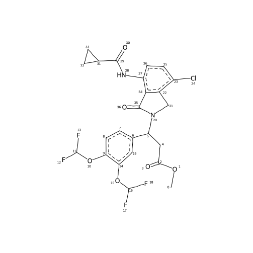 COC(=O)CC(c1ccc(OC(F)F)c(OC(F)F)c1)N1Cc2c(Cl)ccc(NC(=O)C3CC3)c2C1=O